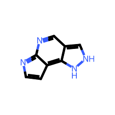 c1cc2c(n1)ncc1c[nH][nH]c12